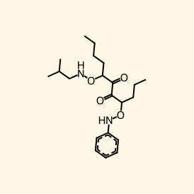 CCCCC(ONCC(C)C)C(=O)C(=O)C(CCC)ONc1ccccc1